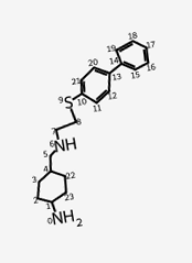 NC1CCC(CNCCSc2ccc(-c3ccccc3)cc2)CC1